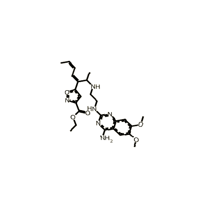 C/C=C\C=C(\c1cc(C(=O)OCC)no1)C(C)NCCNc1nc(N)c2cc(OC)c(OC)cc2n1